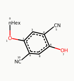 CCCCCCOc1cc(C#N)c(O)cc1C#N